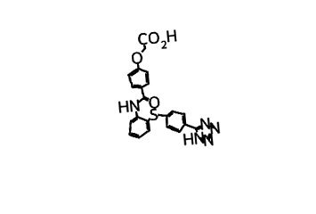 O=C(O)COc1ccc(C(=O)Nc2ccccc2Sc2ccc(-c3nnn[nH]3)cc2)cc1